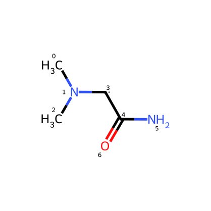 CN(C)[CH]C(N)=O